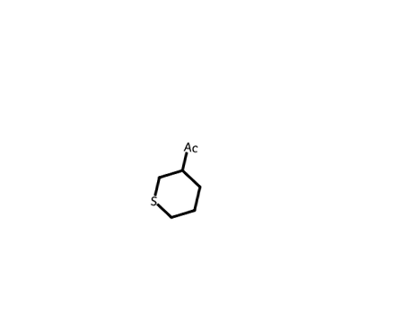 CC(=O)C1CCCSC1